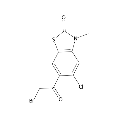 Cn1c(=O)sc2cc(C(=O)CBr)c(Cl)cc21